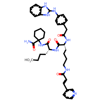 NC(=O)C1(NC(=O)[C@@H](CCCC(=O)O)NC(=O)[C@@H](CCCCNC(=O)/C=C/c2cccnc2)NC(=O)Cc2ccc(NC3Nc4ccccc4N3)cc2)CCCCC1